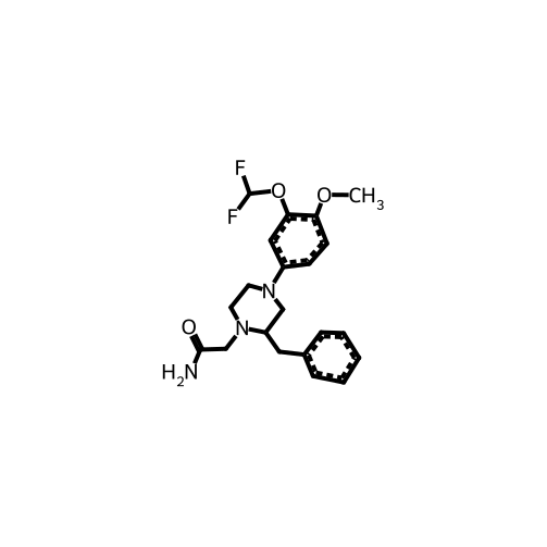 COc1ccc(N2CCN(CC(N)=O)C(Cc3ccccc3)C2)cc1OC(F)F